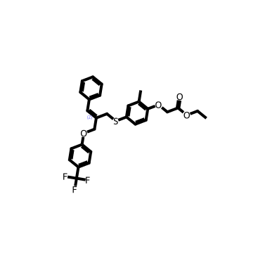 CCOC(=O)COc1ccc(SC/C(=C\c2ccccc2)COc2ccc(C(F)(F)F)cc2)cc1C